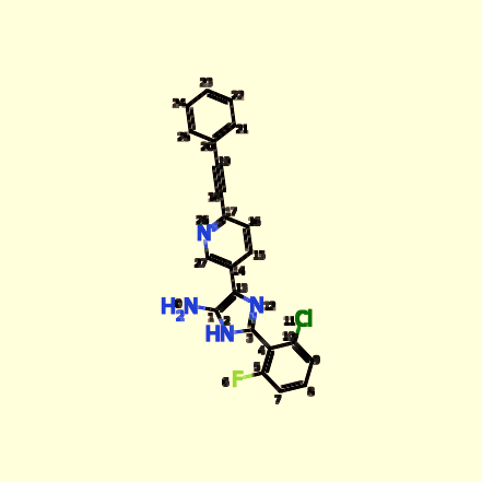 Nc1[nH]c(-c2c(F)cccc2Cl)nc1-c1ccc(C#Cc2ccccc2)nc1